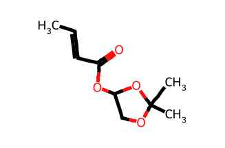 CC=CC(=O)OC1COC(C)(C)O1